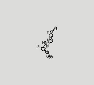 CC(C)c1ccc(N2C[C@H](CS(C)(=O)=O)[C@H]2C)c2cnc(Nc3ccnc(N4CC[C@H](OCCN(C)C)[C@H](F)C4)n3)cc12